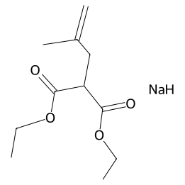 C=C(C)CC(C(=O)OCC)C(=O)OCC.[NaH]